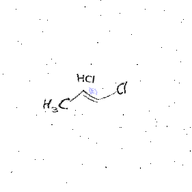 C/C=C/Cl.Cl